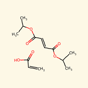 C=CC(=O)O.CC(C)OC(=O)/C=C/C(=O)OC(C)C